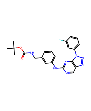 CC(C)(C)OC(=O)NCc1cccc(Nc2ncc3nnn(-c4cccc(F)c4)c3n2)c1